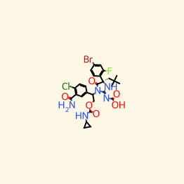 CC(C)(C)C[C@]1(c2ccc(Br)cc2F)NC(=NC(=O)O)N(C(COC(=O)NC2CC2)c2ccc(Cl)c(C(N)=O)c2)C1=O